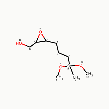 CO[Si](C)(CCCC1OC1CO)OC